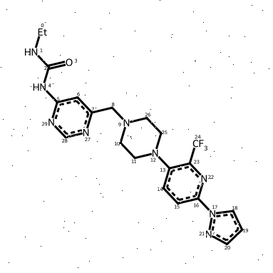 CCNC(=O)Nc1cc(CN2CCN(c3ccc(-n4cccn4)nc3C(F)(F)F)CC2)ncn1